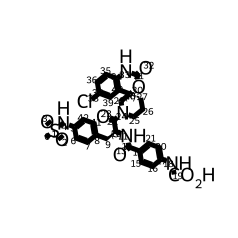 CS(=O)(=O)Nc1ccc(C[C@H](NC(=O)c2ccc(NC(=O)O)cc2)C(=O)N2CCC[C@@]3(C2)OC(=O)Nc2ccc(Cl)cc23)cc1